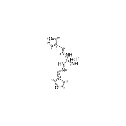 Cl.N=C(NN=Cc1ccoc1)NN=Cc1ccoc1